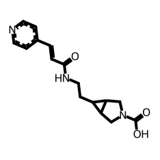 O=C(/C=C/c1ccncc1)NCCC1C2CN(C(=O)O)CC12